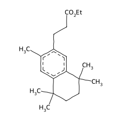 CCOC(=O)CCc1cc2c(cc1C)C(C)(C)CCC2(C)C